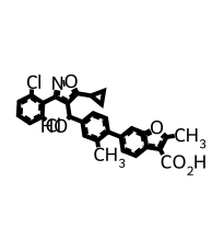 Cc1cc(C(O)c2c(-c3c(Cl)cccc3Cl)noc2C2CC2)ccc1-c1ccc2c(C(=O)O)c(C)oc2c1